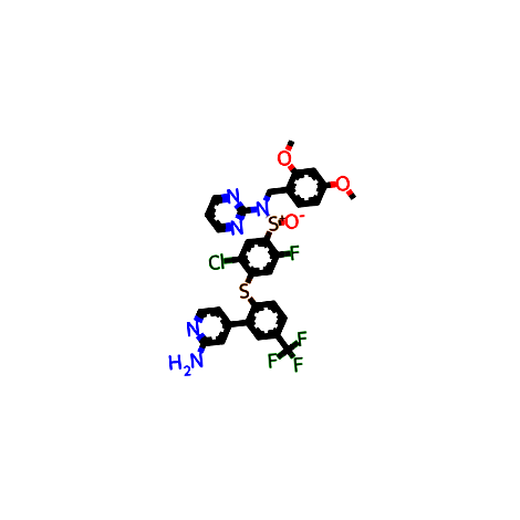 COc1ccc(CN(c2ncccn2)[S+]([O-])c2cc(Cl)c(Sc3ccc(C(F)(F)F)cc3-c3ccnc(N)c3)cc2F)c(OC)c1